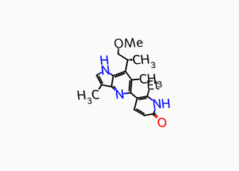 CCc1[nH]c(=O)ccc1-c1nc2c(C)c[nH]c2c([C@H](C)COC)c1C